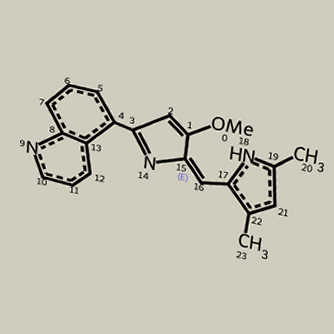 COC1=CC(c2cccc3ncccc23)=N/C1=C/c1[nH]c(C)cc1C